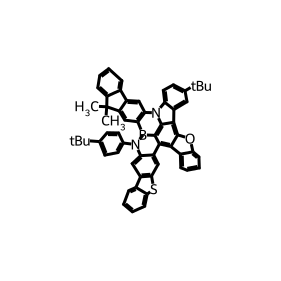 CC(C)(C)c1ccc(N2B3c4cc5c(cc4-n4c6ccc(C(C)(C)C)cc6c6c7oc8ccccc8c7c(c3c64)-c3cc4sc6ccccc6c4cc32)-c2ccccc2C5(C)C)cc1